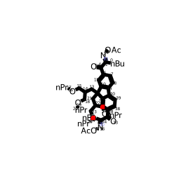 CCCC/C(=N\OC(C)=O)C(=O)c1ccc2c(c1)C(CC(COCCC)COCCC)(CC(COCCC)COCCC)c1cc(C(=O)/C(CCCC)=N/OC(C)=O)ccc1-2